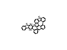 c1ccc(-c2nc3c(nc2-n2c4ccc5cccc6c5c4c4c5c(ccc42)sc2cccc-6c25)sc2ccccc23)cc1